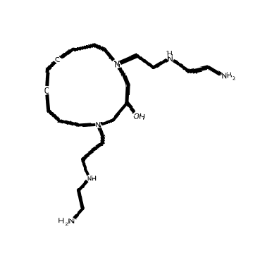 NCCNCCN1CCCCCCCCCN(CCNCCN)CC(O)C1